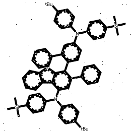 CC(C)(C)c1ccc(N(c2ccc([Si](C)(C)C)cc2)c2ccc(-c3c(-c4ccccc4)cc(N(c4ccc(C(C)(C)C)cc4)c4ccc([Si](C)(C)C)cc4)c4c3sc3ccccc34)c(-c3ccccc3)c2)cc1